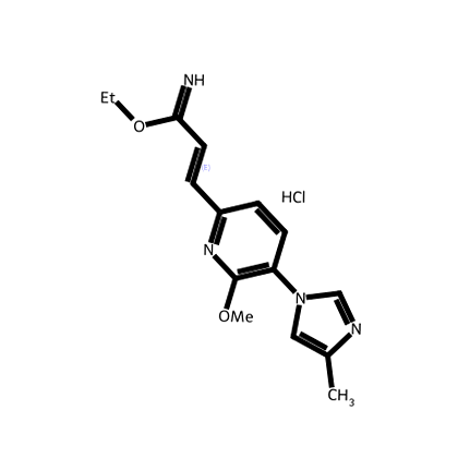 CCOC(=N)/C=C/c1ccc(-n2cnc(C)c2)c(OC)n1.Cl